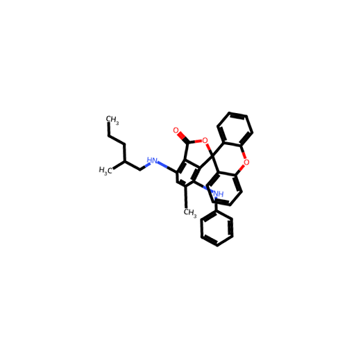 CCCC(C)CNc1cc(C)c(Nc2ccccc2)c2c1C(=O)OC21c2ccccc2Oc2ccccc21